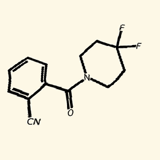 N#Cc1ccccc1C(=O)N1CCC(F)(F)CC1